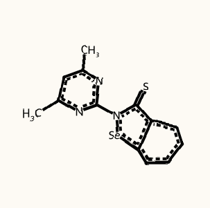 Cc1cc(C)nc(-n2[se]c3ccccc3c2=S)n1